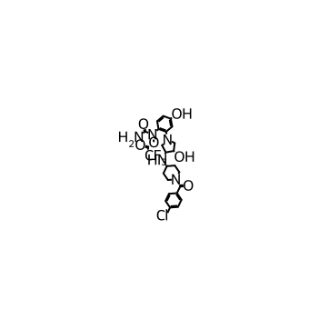 NC(=O)N(OC(=O)C(F)(F)F)c1ccc(O)cc1N1CC(O)C(NC2CCN(C(=O)c3ccc(Cl)cc3)CC2)C1